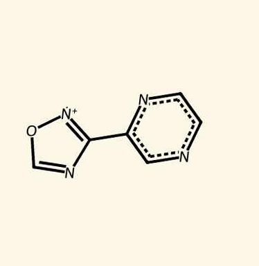 C1=NC(c2cnccn2)=[N+]O1